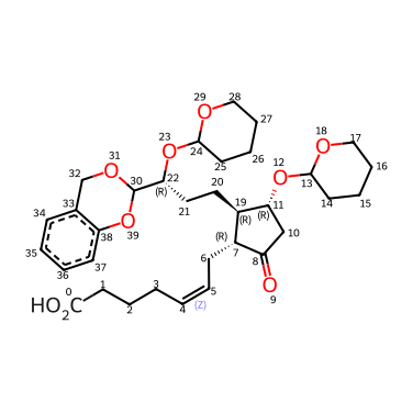 O=C(O)CCC/C=C\C[C@H]1C(=O)C[C@@H](OC2CCCCO2)[C@@H]1CC[C@@H](OC1CCCCO1)C1OCc2ccccc2O1